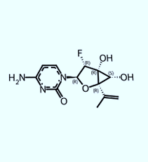 C=C(C)[C@]12O[C@@H](n3ccc(N)nc3=O)[C@H](F)[C@@]1(O)[C@@H]2O